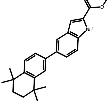 COC(=O)c1cc2cc(-c3ccc4c(c3)C(C)(C)CCC4(C)C)ccc2[nH]1